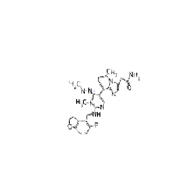 C=N/N=c1/c(-c2ccc(C)n3c(CC(N)=O)cnc23)cnc(NCc2c(F)ccc3c2CCO3)n1C